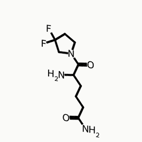 NC(=O)CCCC(N)C(=O)N1CCC(F)(F)C1